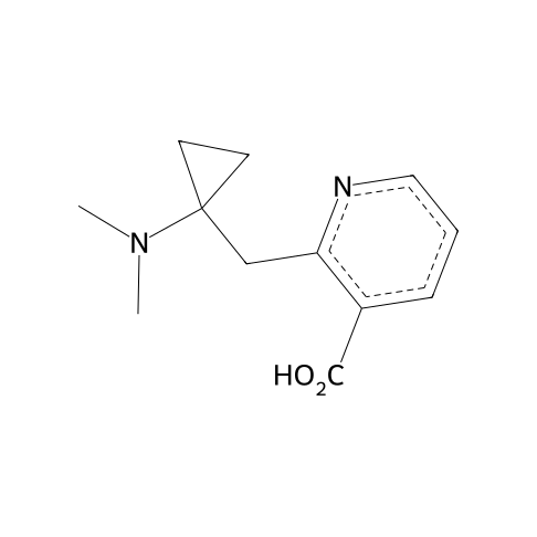 CN(C)C1(Cc2ncccc2C(=O)O)CC1